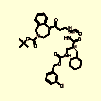 CC(C)(C)OC(=O)N1CCN(C(=O)CC[Si@@H](C=O)NC(=O)[C@H](CC2CCCCC2)SNC(=O)OCc2cccc(Cl)c2)c2ccccc2C1